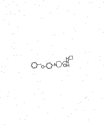 OC1(CNC2CCC2)CCN(c2ccc(OCc3ccccc3)cc2)CC1